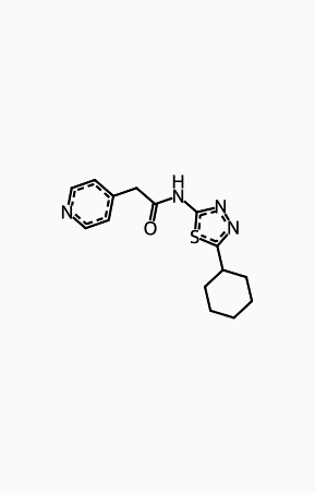 O=C(Cc1ccncc1)Nc1nnc(C2CCCCC2)s1